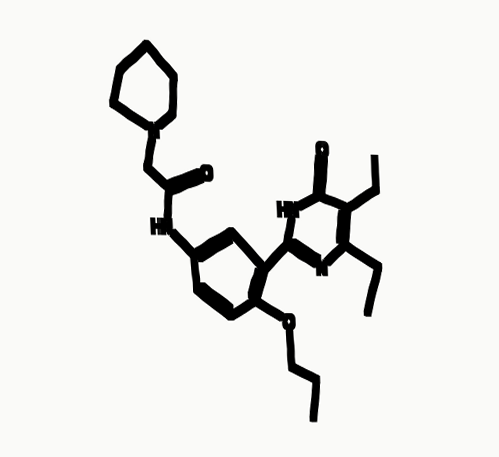 CCCOc1ccc(NC(=O)CN2CCCCC2)cc1-c1nc(CC)c(CC)c(=O)[nH]1